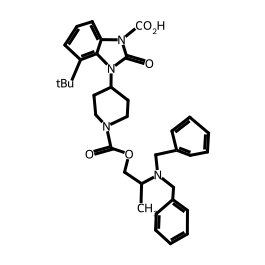 CC(COC(=O)N1CCC(n2c(=O)n(C(=O)O)c3cccc(C(C)(C)C)c32)CC1)N(Cc1ccccc1)Cc1ccccc1